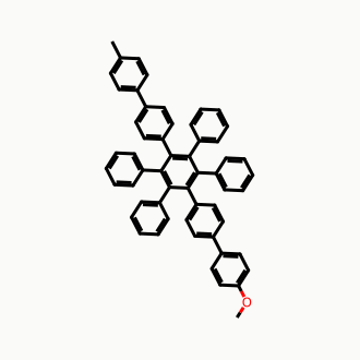 COc1ccc(-c2ccc(-c3c(-c4ccccc4)c(-c4ccccc4)c(-c4ccc(-c5ccc(C)cc5)cc4)c(-c4ccccc4)c3-c3ccccc3)cc2)cc1